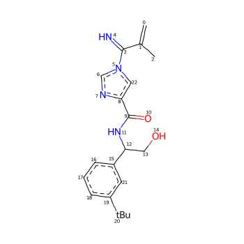 C=C(C)C(=N)n1cnc(C(=O)NC(CO)c2cccc(C(C)(C)C)c2)c1